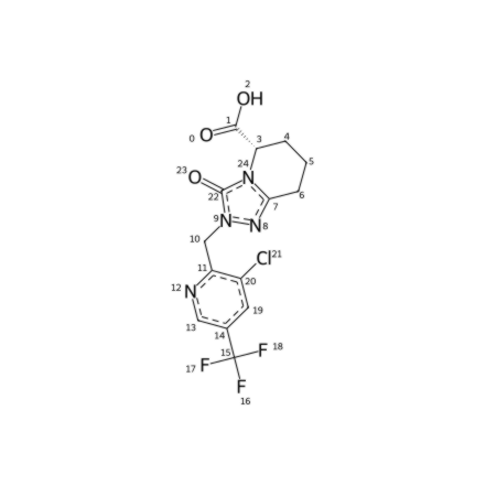 O=C(O)[C@@H]1CCCc2nn(Cc3ncc(C(F)(F)F)cc3Cl)c(=O)n21